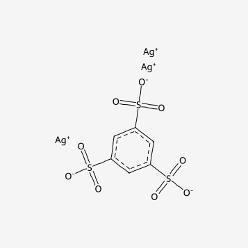 O=S(=O)([O-])c1cc(S(=O)(=O)[O-])cc(S(=O)(=O)[O-])c1.[Ag+].[Ag+].[Ag+]